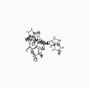 C=C1C[C@@H]2[C@@H]3CC[C@H](CN2c2nc(OC[C@@]45CCCN4C[C@H](F)C5)nc4c(F)c(Cl)nc1c24)N3C(=O)OC(C)(C)C